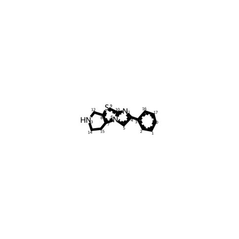 c1ccc(-c2cn3c4c(sc3n2)CNCC4)cc1